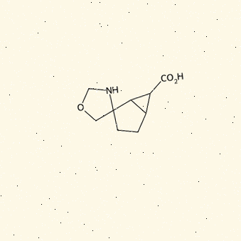 O=C(O)C1C2CCC3(COCN3)C21